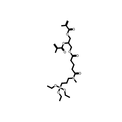 C=C(C)C(=O)OCC(COC(=O)CCCC(=O)N(C)CCC[Si](OCC)(OCC)OCC)OC(=O)C(=C)C